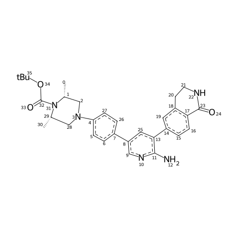 C[C@@H]1CN(c2ccc(-c3cnc(N)c(-c4ccc5c(c4)CCNC5=O)c3)cc2)C[C@H](C)N1C(=O)OC(C)(C)C